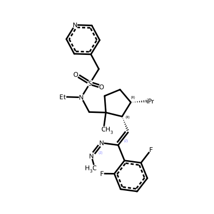 CCN(CC1(C)CC[C@H](C(C)C)[C@@H]1/C=C(\N=N/C)c1c(F)cccc1F)S(=O)(=O)Cc1ccncc1